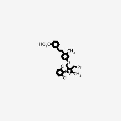 Cc1cc(OCc2c(CC(C)C)c(C)nn2-c2c(Cl)cccc2Cl)ccc1C=Cc1cccc(C(=O)O)c1